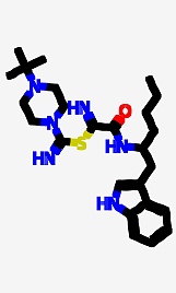 CCCCC(Cc1c[nH]c2ccccc12)NC(=O)C(=N)SC(=N)N1CCN(C(C)(C)C)CC1